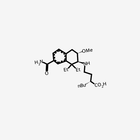 CCCC[C@H](CCN[C@@H]1[C@@H](OC)Cc2ccc(C(N)=O)cc2C1(CC)CC)C(=O)O